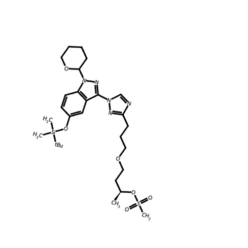 C[C@@H](CCOCCCc1ncn(-c2nn(C3CCCCO3)c3ccc(O[Si](C)(C)C(C)(C)C)cc23)n1)OS(C)(=O)=O